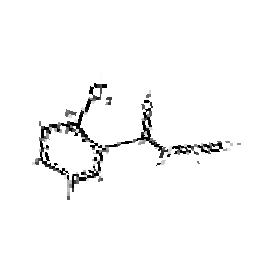 O=C=NC(=O)c1cnccc1C(F)(F)F